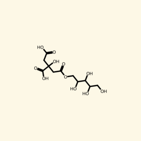 O=C(O)CC(O)(CC(=O)OCC(O)C(O)C(O)CO)C(=O)O